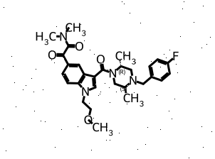 COCCn1cc(C(=O)N2C[C@H](C)N(Cc3ccc(F)cc3)C[C@H]2C)c2cc(C(=O)C(=O)N(C)C)ccc21